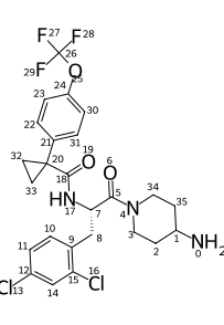 NC1CCN(C(=O)[C@H](Cc2ccc(Cl)cc2Cl)NC(=O)C2(c3ccc(OC(F)(F)F)cc3)CC2)CC1